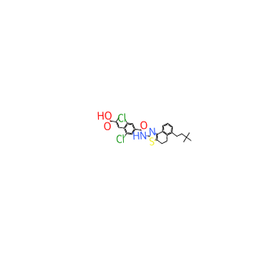 CC(=Cc1c(Cl)cc(C(=O)Nc2nc3c(s2)CCc2c(CCC(C)(C)C)cccc2-3)cc1Cl)C(=O)O